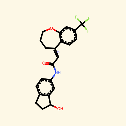 O=C(/C=C1\CCCOc2cc(C(F)(F)F)ccc21)Nc1ccc2c(c1)C(O)CC2